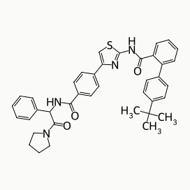 CC(C)(C)c1ccc(-c2ccccc2C(=O)Nc2nc(-c3ccc(C(=O)NC(C(=O)N4CCCC4)c4ccccc4)cc3)cs2)cc1